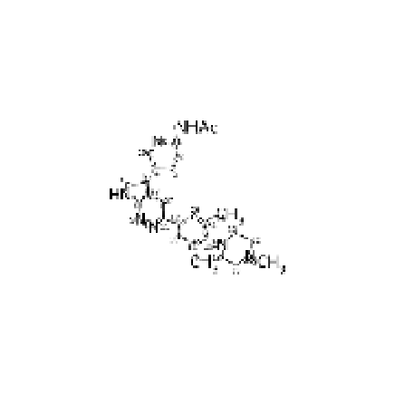 CC(=O)Nc1ccc(-c2c[nH]c3nnc(-c4cc(C)c(N5CCN(C)CC5)c(C)c4)cc23)cn1